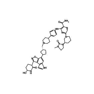 CN1CCN([C@@H]2CCCN(c3cnc(C(N)=O)c(Nc4ccc(C5CCN(C[C@@H]6CCC(c7cc8[nH]ccc8c8c(C9CCC(O)NC9=O)noc78)C6)CC5)cc4)n3)C2)C1=O